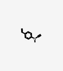 C#CN(C)c1ccc(C=C)cc1